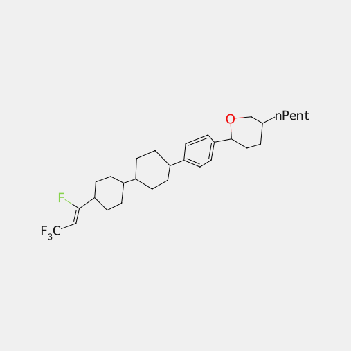 CCCCCC1CCC(c2ccc(C3CCC(C4CCC(/C(F)=C/C(F)(F)F)CC4)CC3)cc2)OC1